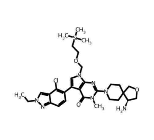 CCn1cc2c(Cl)c(-c3cn(COCC[Si](C)(C)C)c4nc(N5CCC6(CC5)COC[C@H]6N)n(C)c(=O)c34)ccc2n1